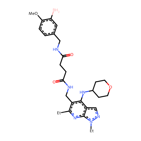 Bc1cc(CNC(=O)CCC(=O)NCc2c(CC)nc3c(cnn3CC)c2NC2CCOCC2)ccc1OC